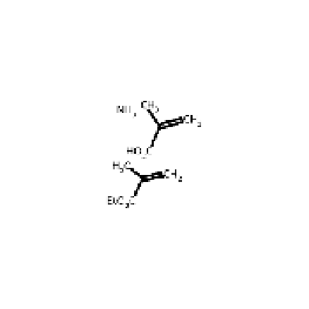 C=C(C)C(=O)O.C=C(C)C(=O)OCC.N